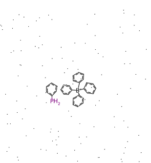 Pc1ccccc1.c1ccc([B-](c2ccccc2)(c2ccccc2)c2ccccc2)cc1